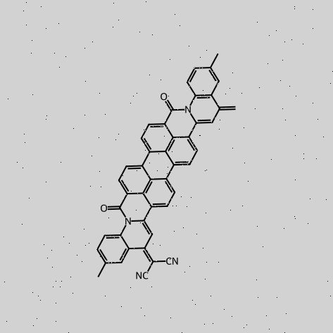 C=c1cc2c3ccc4c5ccc6c7c(ccc(c8ccc(c(=O)n2c2ccc(C)cc12)c3c84)c57)c(=O)n1c2ccc(C)cc2c(=C(C#N)C#N)cc61